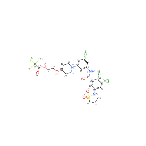 O=C(Nc1cc(Cl)cc(N2CCC(OCCOC(=O)C(F)(F)F)CC2)c1)c1cc(N2CCCS2(=O)=O)cc(Cl)c1Cl